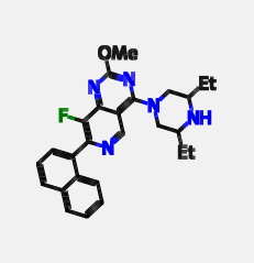 CCC1CN(c2nc(OC)nc3c(F)c(-c4cccc5ccccc45)ncc23)CC(CC)N1